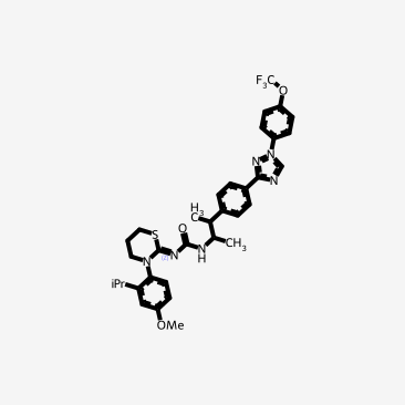 COc1ccc(N2CCCS/C2=N\C(=O)NC(C)C(C)c2ccc(-c3ncn(-c4ccc(OC(F)(F)F)cc4)n3)cc2)c(C(C)C)c1